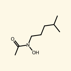 CC(=O)N(O)CCCC(C)C